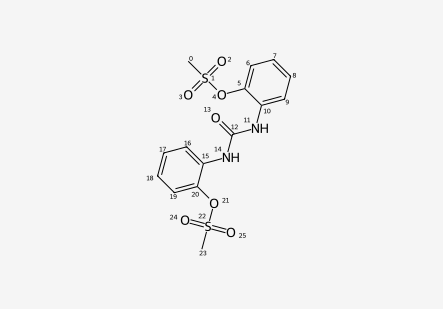 CS(=O)(=O)Oc1ccccc1NC(=O)Nc1ccccc1OS(C)(=O)=O